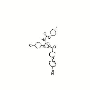 CN(C(=O)O[C@H]1CC[C@@H](C)CC1)[C@@H]1CN(C(=O)C2CCN(c3ccc(C#N)cn3)CC2)C[C@H]1c1ccc(Cl)cc1